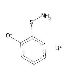 NSc1ccccc1[O-].[Li+]